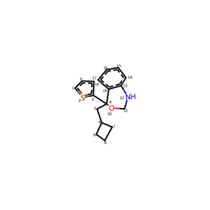 c1csc(C2(CC3CCC3)OCNc3ccccc32)c1